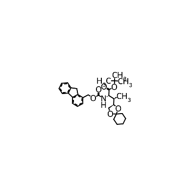 C[C@@H]([C@@H]1COC2(CCCCC2)O1)[C@H](NC(=O)OCc1cccc2c1Cc1ccccc1-2)C(=O)OC(C)(C)C